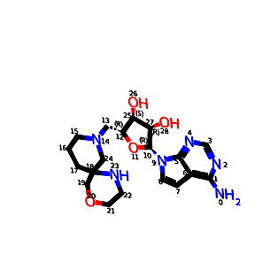 Nc1ncnc2c1ccn2[C@@H]1O[C@H](CN2CCCC3(COCCN3)C2)[C@@H](O)[C@H]1O